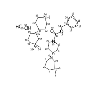 CC1(C)CCCN(C2CCN(C(=O)OCc3ccccc3)CC2)C1.CC1(C)CCCN(C2CCNCC2)C1.Cl.Cl